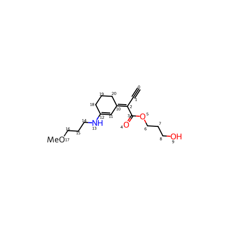 C#C/C(C(=O)OCCCO)=C1/C=C(NCCCOC)CCC1